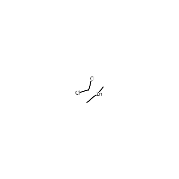 ClCCl.[CH3][Zn][CH3]